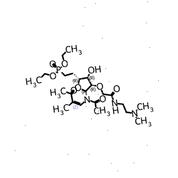 CCOP(=O)(CC[C@H]1O[C@@H](N(/C=C(/C)C(C)=O)C(C)=O)[C@H](OCC(=O)NCCN(C)C)[C@@H]1O)OCC